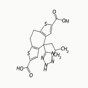 CC(C)CC1(c2nn[nH]n2)c2cc(C(=O)O)sc2CCc2sc(C(=O)O)cc21